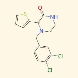 O=C1NCCN(Cc2ccc(Cl)c(Cl)c2)C1c1cccs1